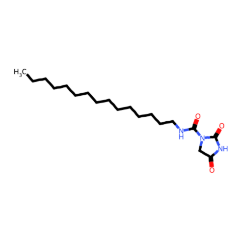 CCCCCCCCCCCCCCCNC(=O)N1CC(=O)NC1=O